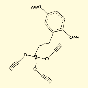 C#CO[Si](CCc1cc(OC)ccc1OC)(OC#C)OC#C